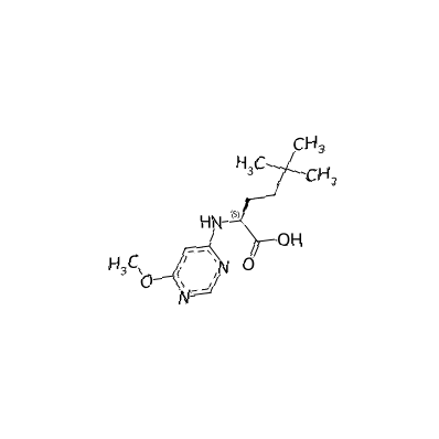 COc1cc(N[C@@H](CCC(C)(C)C)C(=O)O)ncn1